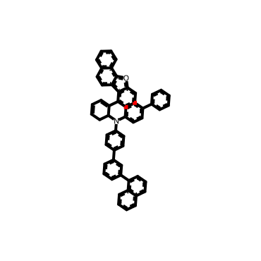 C1=CCC(N(c2ccc(-c3ccccc3)cc2)c2ccc(-c3cccc(-c4cccc5ccccc45)c3)cc2)C(c2cccc3oc4c5ccccc5ccc4c23)=C1